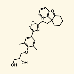 Cc1cc(-c2noc(CCC3(c4ccccn4)CCCCC3=O)n2)cc(C)c1OC[C@H](O)CO